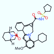 COc1ccc(C2CCCCC2)c2c1cc1n2CC2=C(C(=O)NS(=O)(=O)C3CCCC3)C2=C2C=CC[C@@H](C(=O)N3[C@@H]4CCC[C@H]3COC4)C21